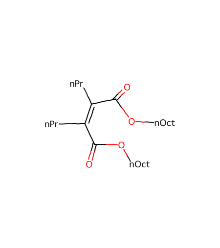 CCCCCCCCOC(=O)C(CCC)=C(CCC)C(=O)OCCCCCCCC